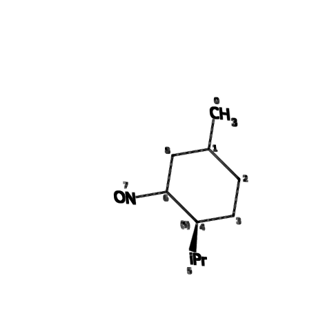 CC1CC[C@@H](C(C)C)C(N=O)C1